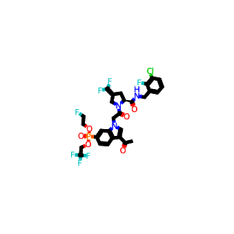 CC(=O)c1cn(CC(=O)N2CC(=C(F)F)C[C@H]2C(=O)NCc2cccc(Cl)c2F)c2cc(P(=O)(OCCF)OCC(F)(F)F)ccc12